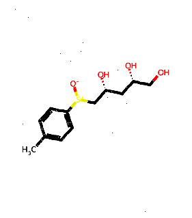 Cc1ccc([S+]([O-])C[C@H](O)C[C@H](O)CO)cc1